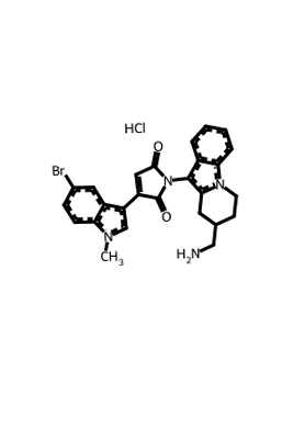 Cl.Cn1cc(C2=CC(=O)N(c3c4n(c5ccccc35)CCC(CN)C4)C2=O)c2cc(Br)ccc21